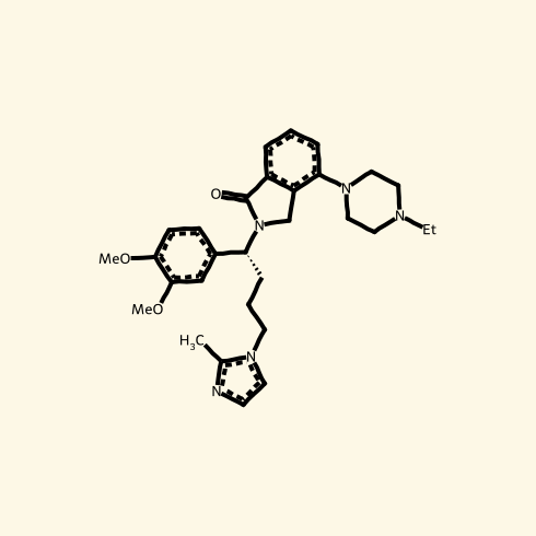 CCN1CCN(c2cccc3c2CN([C@H](CCCn2ccnc2C)c2ccc(OC)c(OC)c2)C3=O)CC1